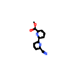 COC(=O)c1cccc(-c2cccc(C#N)n2)n1